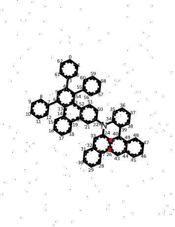 c1ccc(-c2cc(-c3ccccc3)c3c4ccccc4c4cc(N(c5ccc6ccccc6c5)c5ccccc5-c5cccc6ccccc56)ccc4c3c2-c2ccccc2)cc1